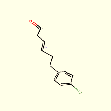 O=[C]C/C=C/CCc1ccc(Cl)cc1